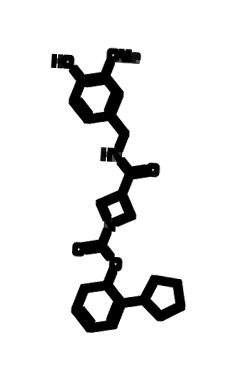 COc1cc(CNC(=O)C2CN(C(=O)OC3CC=CC=C3C3CCCC3)C2)ccc1O